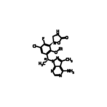 CCOc1c([C@@H](C)n2nc(C)c3c(N)ncnc32)cc(Cl)c(F)c1[C@@H]1CNC(=O)O1